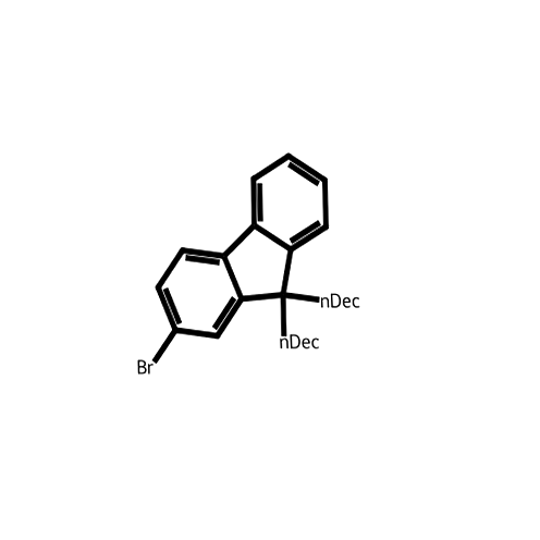 CCCCCCCCCCC1(CCCCCCCCCC)c2ccccc2-c2ccc(Br)cc21